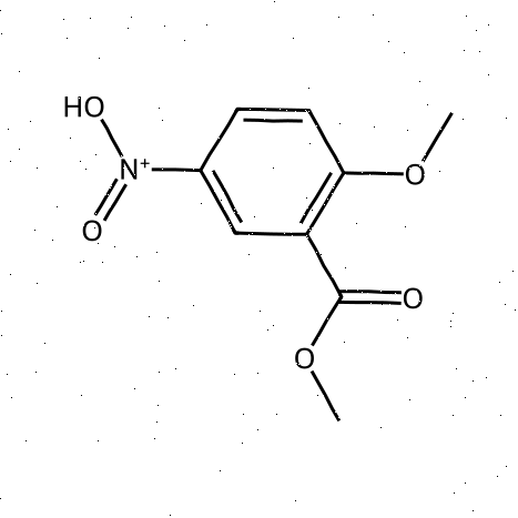 COC(=O)c1cc([N+](=O)O)ccc1OC